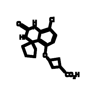 O=C1Nc2c(Cl)ccc(OC3CC(C(=O)O)C3)c2C2(CCCC2)N1